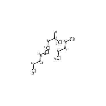 CC(Cl)CCl.ClC=CCCl.ClC=CCCl